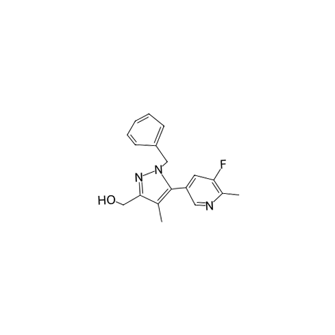 Cc1ncc(-c2c(C)c(CO)nn2Cc2ccccc2)cc1F